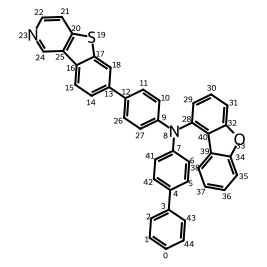 c1ccc(-c2ccc(N(c3ccc(-c4ccc5c(c4)sc4ccncc45)cc3)c3cccc4oc5ccccc5c34)cc2)cc1